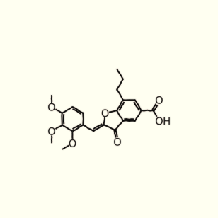 CCCc1cc(C(=O)O)cc2c1OC(=Cc1ccc(OC)c(OC)c1OC)C2=O